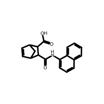 O=C(O)C1C2C=CC(C2)C1C(=O)Nc1cccc2ccccc12